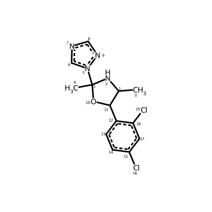 CC1NC(C)(n2cncn2)OC1c1ccc(Cl)cc1Cl